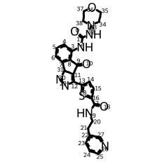 O=C(Nc1cccc2c1C(=O)C1=C(c3ccc(C(=O)NCCc4cccnc4)s3)N=NC12)NN1CCOCC1